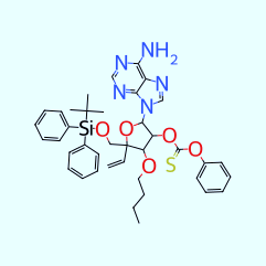 C=CC1(CO[Si](c2ccccc2)(c2ccccc2)C(C)(C)C)OC(n2cnc3c(N)ncnc32)C(OC(=S)Oc2ccccc2)C1OCCCC